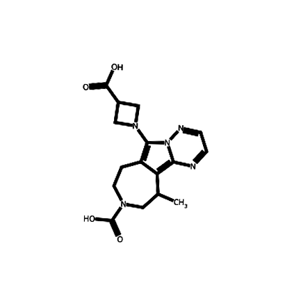 CC1CN(C(=O)O)CCc2c1c1nccnn1c2N1CC(C(=O)O)C1